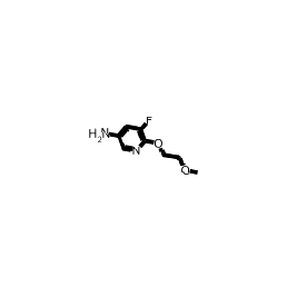 COCCOc1ncc(N)cc1F